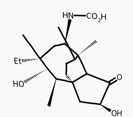 CC[C@]1(C)C[C@@H](NC(=O)O)[C@]2(C)C(C)CC[C@]3(C[C@H](O)C(=O)C32)[C@@H](C)[C@@H]1O